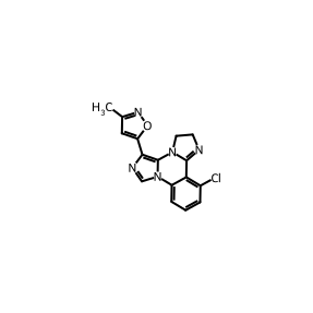 Cc1cc(-c2ncn3c2N2CCN=C2c2c(Cl)cccc2-3)on1